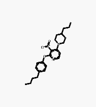 CCCCc1ccc(Oc2nccc(N3CCC(CCC)CC3)c2[N+](=O)[O-])cc1